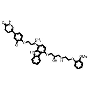 COc1ccccc1OCCNCC(O)COc1ccc(N(C)CCOc2ccc(C3=NNC(=O)CC3)cc2Cl)c2[nH]c3ccccc3c12